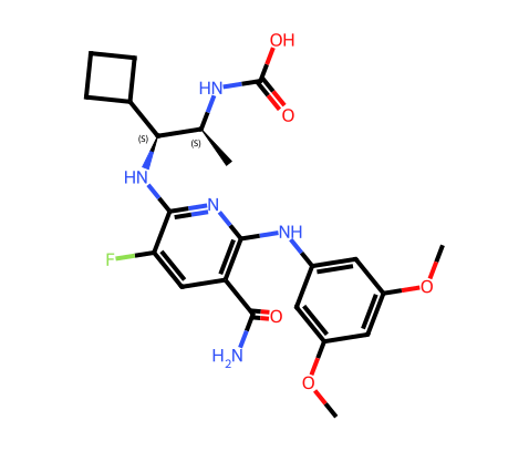 COc1cc(Nc2nc(N[C@@H](C3CCC3)[C@H](C)NC(=O)O)c(F)cc2C(N)=O)cc(OC)c1